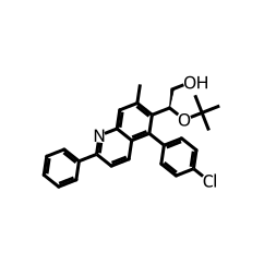 Cc1cc2nc(-c3ccccc3)ccc2c(-c2ccc(Cl)cc2)c1[C@@H](CO)OC(C)(C)C